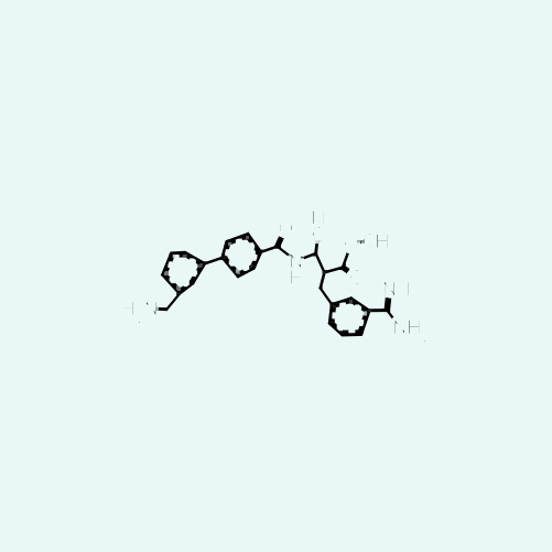 COC(=O)C(Cc1cccc(C(=N)N)c1)C(C)NC(=O)c1ccc(-c2cccc(CN)c2)cc1